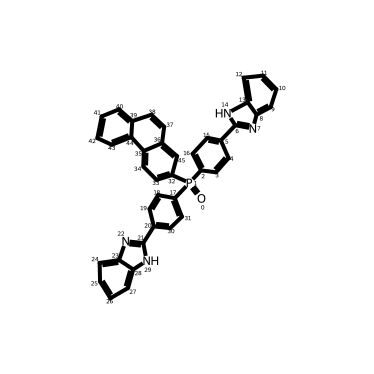 O=P(c1ccc(-c2nc3ccccc3[nH]2)cc1)(c1ccc(-c2nc3ccccc3[nH]2)cc1)c1ccc2c(ccc3ccccc32)c1